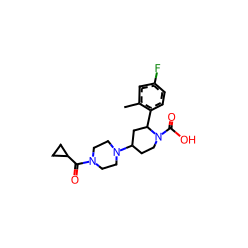 Cc1cc(F)ccc1C1CC(N2CCN(C(=O)C3CC3)CC2)CCN1C(=O)O